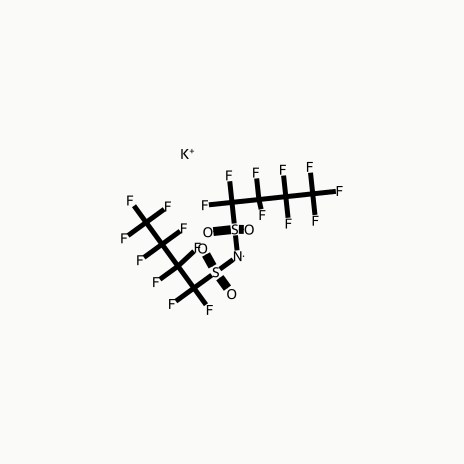 O=S(=O)([N]S(=O)(=O)C(F)(F)C(F)(F)C(F)(F)C(F)(F)F)C(F)(F)C(F)(F)C(F)(F)C(F)(F)F.[K+]